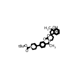 C[C@@H](c1ccc(C2=CCN(C(=O)OC(C)(C)C)CC2)cc1)N1CCC(CC(C)(C)O)(c2ccccc2)OC1=O